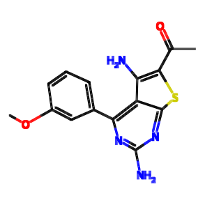 COc1cccc(-c2nc(N)nc3sc(C(C)=O)c(N)c23)c1